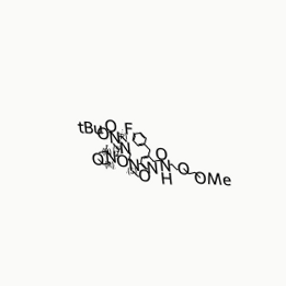 COCCOCCNC(=O)c1nc2c(cc1Cc1ccc(F)cc1)N(C(=O)CN1C[C@@H](C)N(C(=O)OC(C)(C)C)C[C@@H]1CN1[C@H](C)COC[C@H]1C)[C@@H](C)CO2